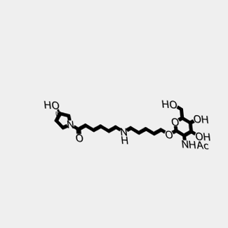 CC(=O)NC1C(OCCCCCNCCCCCC(=O)N2CC[C@@H](O)C2)OC(CO)C(O)C1O